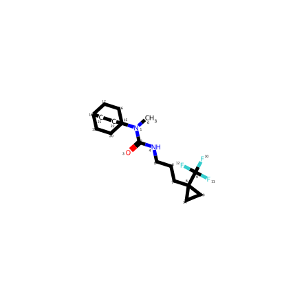 CN(C(=O)NCCCC1(C(F)(F)F)CC1)C12CCC(CC1)CC2